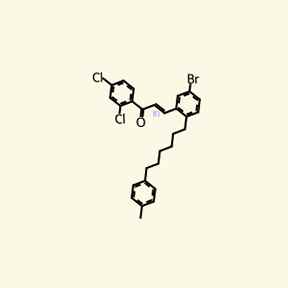 Cc1ccc(CCCCCCc2ccc(Br)cc2/C=C/C(=O)c2ccc(Cl)cc2Cl)cc1